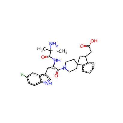 CC(C)(N)C(=O)N[C@H](Cc1c[nH]c2ccc(F)cc12)C(=O)N1CCC2(CC1)CC(CC(=O)O)c1ccccc12